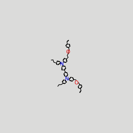 C=Cc1ccc(COCCCc2ccc(N(c3ccc(CCC)cc3)c3ccc(-c4ccc(N(c5ccc(CCC)cc5)c5ccc(COCc6ccc(C=C)cc6)cc5)cc4)cc3)cc2)cc1